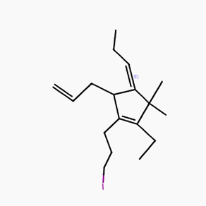 C=CCC1C(CCCI)=C(CC)C(C)(C)/C1=C/CC